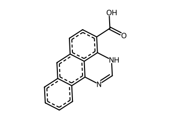 O=C(O)c1ccc2cc3ccccc3c3c2c1NC=N3